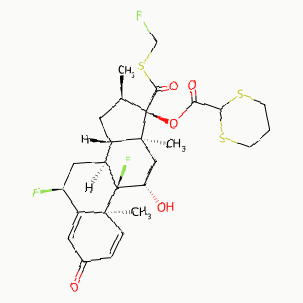 C[C@@H]1C[C@H]2[C@@H]3C[C@H](F)C4=CC(=O)C=C[C@]4(C)[C@@]3(F)[C@@H](O)C[C@]2(C)[C@@]1(OC(=O)C1SCCCS1)C(=O)SCF